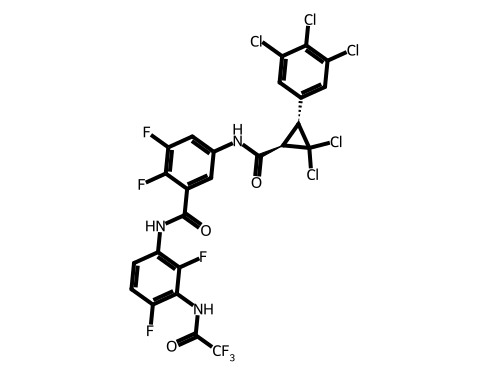 O=C(Nc1ccc(F)c(NC(=O)C(F)(F)F)c1F)c1cc(NC(=O)[C@H]2[C@H](c3cc(Cl)c(Cl)c(Cl)c3)C2(Cl)Cl)cc(F)c1F